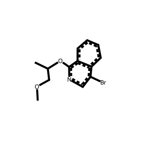 COCC(C)Oc1ncc(Br)c2ccccc12